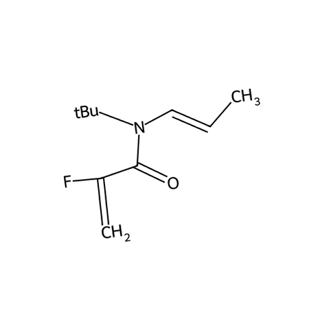 C=C(F)C(=O)N(/C=C/C)C(C)(C)C